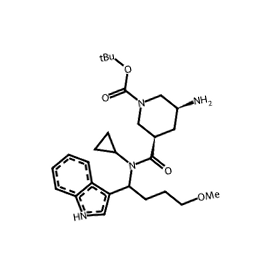 COCCCC(c1c[nH]c2ccccc12)N(C(=O)[C@@H]1C[C@H](N)CN(C(=O)OC(C)(C)C)C1)C1CC1